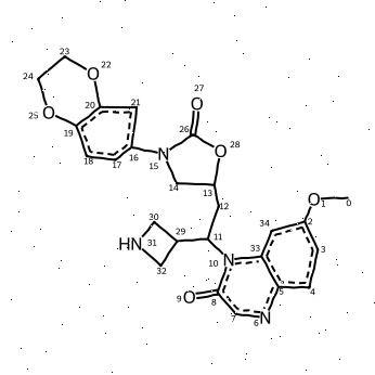 COc1ccc2ncc(=O)n(C(CC3CN(c4ccc5c(c4)OCCO5)C(=O)O3)C3CNC3)c2c1